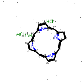 C1=CC2=NC1=CC1=NC(=CC3=NC(=CC4=NC(=C2)C=C4)C=C3)C=C1.Cl.Cl.Cl